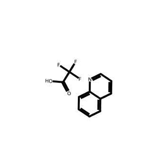 O=C(O)C(F)(F)F.c1ccc2ncccc2c1